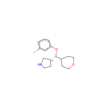 Fc1cccc(OC(C2CCOCC2)[C@@H]2CCNC2)c1